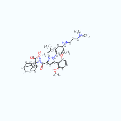 COc1cccc(OC)c1-c1cc(C(=O)NC2(C(=O)O)C3CC4CC(C3)CC2C4)nn1-c1ccc(NCCCN(C)C)cc1C(C)C